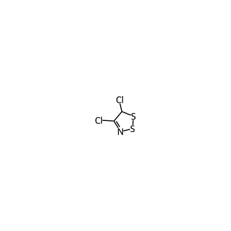 ClC1=NSSC1Cl